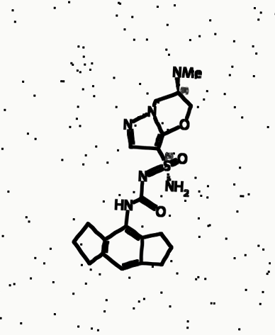 CN[C@H]1COc2c([S@@](N)(=O)=NC(=O)Nc3c4c(cc5c3CCC5)CCC4)cnn2C1